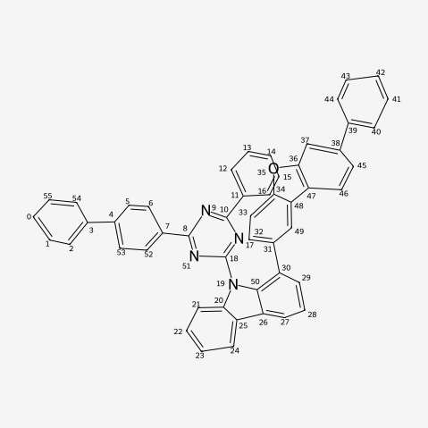 c1ccc(-c2ccc(-c3nc(-c4ccccc4)nc(-n4c5ccccc5c5cccc(-c6ccc7oc8cc(-c9ccccc9)ccc8c7c6)c54)n3)cc2)cc1